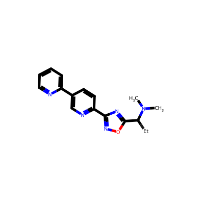 CCC(c1nc(-c2ccc(-c3ccccn3)cn2)no1)N(C)C